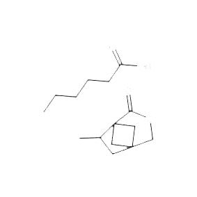 CC1CC23COC(=O)C1(C2)C3.CCCCCC(=O)O